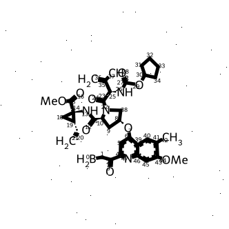 BCC(=O)c1cc(O[C@@H]2C[C@@H](C(=O)N[C@]3(C(=O)OC)C[C@H]3C=C)N(C(=O)[C@@H](NC(=O)OC3CCCC3)C(=C)C)C2)c2cc(C)c(OC)cc2n1